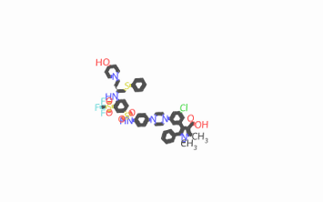 Cc1c(C(=O)O)c(-c2cc(Cl)cc(N3CCN(c4ccc(NS(=O)(=O)c5ccc(N[C@H](CCN6CCC(O)CC6)CSc6ccccc6)c(S(=O)(=O)C(F)(F)F)c5)cc4)CC3)c2)c(-c2ccccc2)n1C